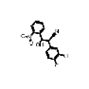 N#CC(c1ccc(Cl)c(Cl)c1)C(O)c1ccccc1[N+](=O)[O-]